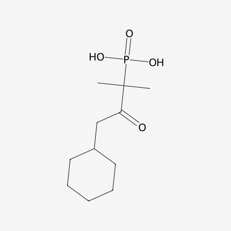 CC(C)(C(=O)CC1CCCCC1)P(=O)(O)O